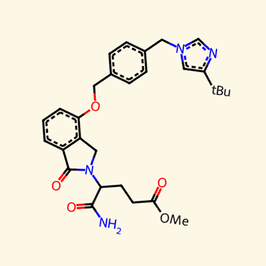 COC(=O)CCC(C(N)=O)N1Cc2c(OCc3ccc(Cn4cnc(C(C)(C)C)c4)cc3)cccc2C1=O